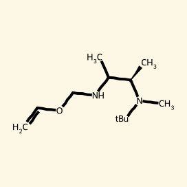 C=COCNC(C)[C@@H](C)N(C)C(C)(C)C